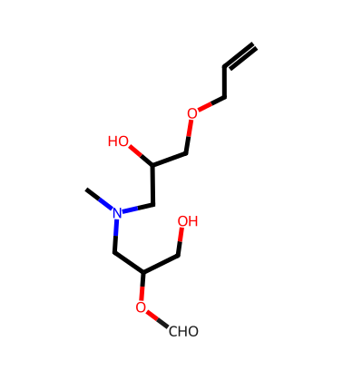 C=CCOCC(O)CN(C)CC(CO)OC=O